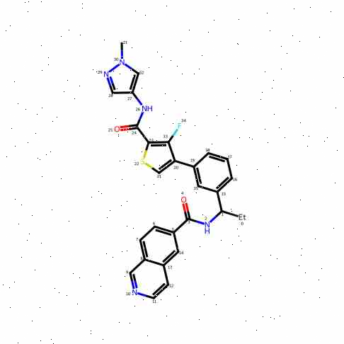 CCC(NC(=O)c1ccc2cnccc2c1)c1cccc(-c2csc(C(=O)Nc3cnn(C)c3)c2F)c1